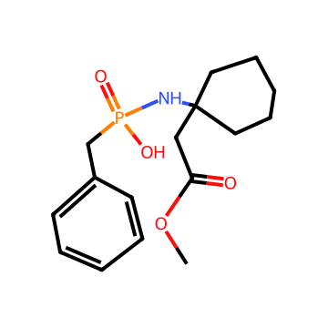 COC(=O)CC1(NP(=O)(O)Cc2ccccc2)CCCCC1